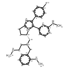 CNc1nccc(-c2c(-c3ccc(F)cc3)nc3n2[C@H](CN(CCOC)Cc2ccccc2OC)CC3)n1